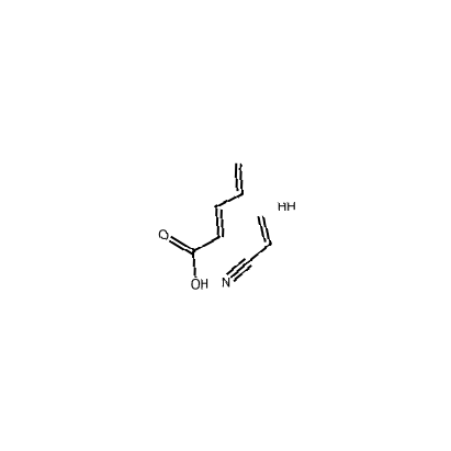 C=CC#N.C=CC=CC(=O)O.[HH]